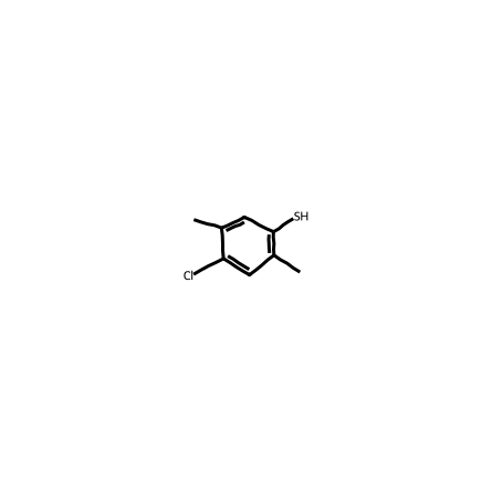 Cc1cc(Cl)c(C)cc1S